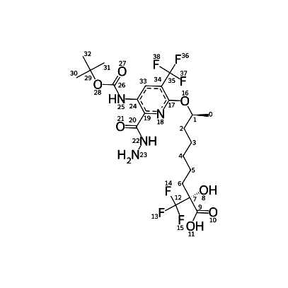 C[C@@H](CCCCC[C@@](O)(C(=O)O)C(F)(F)F)Oc1nc(C(=O)NN)c(NC(=O)OC(C)(C)C)cc1C(F)(F)F